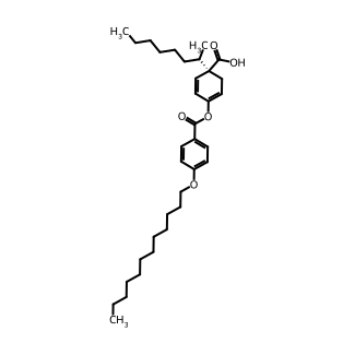 CCCCCCCCCCCCOc1ccc(C(=O)OC2=CC[C@@](C(=O)O)(C(C)CCCCCC)C=C2)cc1